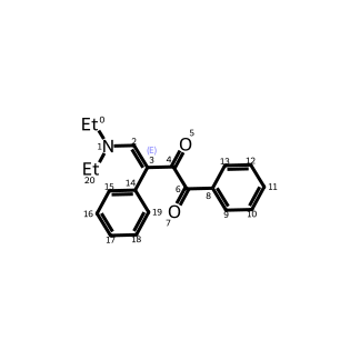 CCN(/C=C(/C(=O)C(=O)c1ccccc1)c1ccccc1)CC